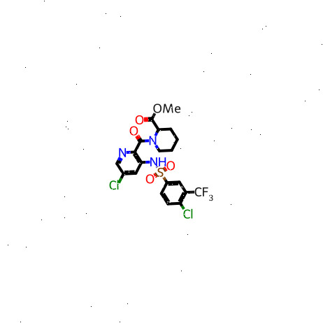 COC(=O)C1CCCCN1C(=O)c1ncc(Cl)cc1NS(=O)(=O)c1ccc(Cl)c(C(F)(F)F)c1